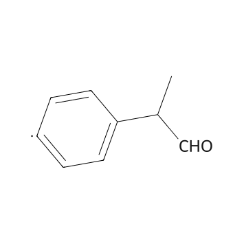 CC(C=O)c1cc[c]cc1